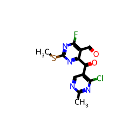 CSc1nc(F)c([C]=O)c(C(=O)c2cnc(C)nc2Cl)n1